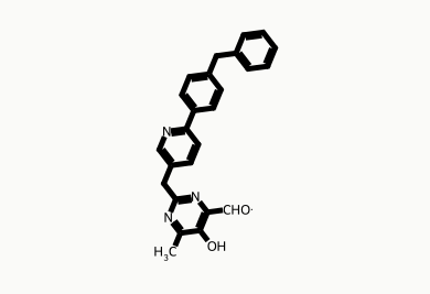 Cc1nc(Cc2ccc(-c3ccc(Cc4ccccc4)cc3)nc2)nc([C]=O)c1O